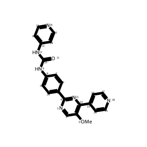 COc1cnc(-c2ccc(NC(=O)Nc3ccncc3)cc2)nc1-c1ccncc1